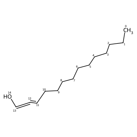 CCCCCCCCCCCC=C=CO